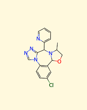 CC1COC2c3cc(Cl)ccc3-n3cnnc3C(c3ccccn3)N12